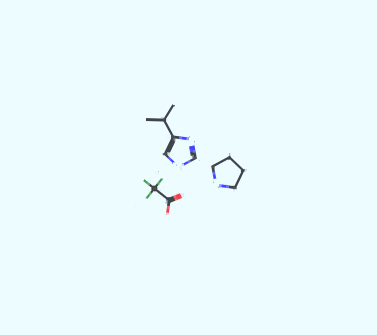 CC(C)c1c[nH]c([C@@H]2CCCN2)n1.O=C(O)C(F)(F)F